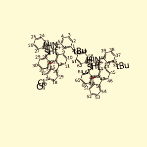 CC(C)(C)c1cccc([NH][Hf+]([c]2cccc3c2Cc2ccccc2-3)[SiH](c2ccccc2)c2ccccc2)c1.CC(C)(C)c1cccc([NH][Hf+]([c]2cccc3c2Cc2ccccc2-3)[SiH](c2ccccc2)c2ccccc2)c1.[Cl-].[Cl-]